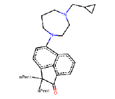 CCCCCC1(CCCCC)C(=O)c2cccc3c(N4CCCN(CC5CC5)CC4)ccc1c23